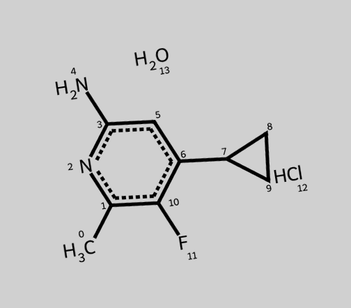 Cc1nc(N)cc(C2CC2)c1F.Cl.O